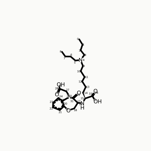 CCCCN(CCCC)CCCCCC[C@H](NC1COc2ccccc2N(CC(=O)O)C1=O)C(=O)O